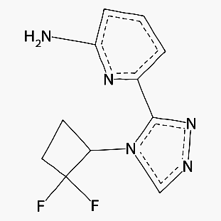 Nc1cccc(-c2nncn2C2CCC2(F)F)n1